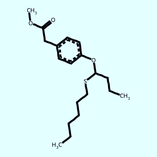 CCCCCCSC(CCC)Oc1ccc(CC(=O)OC)cc1